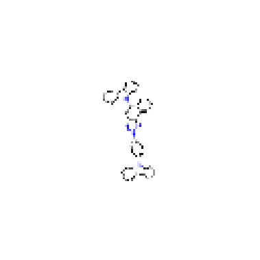 c1ccc2c(c1)c(-n1c3ccccc3c3ccccc31)cc1nn(-c3ccc(-n4c5ccccc5c5ccccc54)cc3)nc12